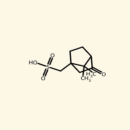 CC1(C)C2CCC1(CS(=O)(=O)O)CC2=O